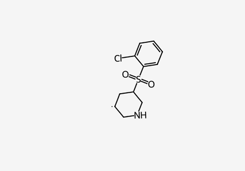 O=S(=O)(c1ccccc1Cl)C1C[CH]CNC1